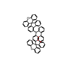 c1ccc(-c2ccccc2N(c2ccc3c(c2)-c2ccccc2C32c3ccccc3Sc3ccccc32)c2cccc3c2-c2ccccc2C32c3ccccc3Oc3ccccc32)cc1